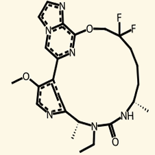 CCN1C(=O)N[C@@H](C)CCCC(F)(F)COc2nc(cn3ccnc23)-c2cc(ncc2OC)[C@H]1C